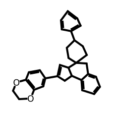 C1=C(c2ccc3c(c2)OCCO3)CC2c3ccccc3CC3(CCC(c4ccccc4)CC3)C12